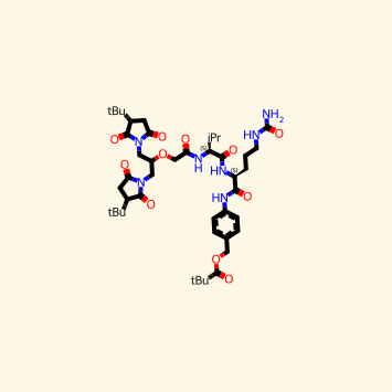 CC(C)[C@H](NC(=O)COC(CN1C(=O)CC(C(C)(C)C)C1=O)CN1C(=O)CC(C(C)(C)C)C1=O)C(=O)N[C@@H](CCCNC(N)=O)C(=O)Nc1ccc(COC(=O)C(C)(C)C)cc1